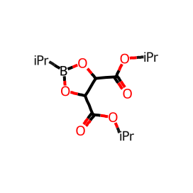 CC(C)OC(=O)C1OB(C(C)C)OC1C(=O)OC(C)C